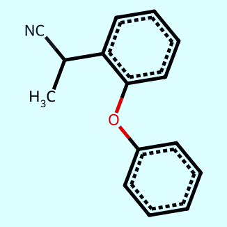 CC(C#N)c1ccccc1Oc1ccccc1